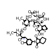 CCOC(=O)/C(Cl)=C/c1cc(N2C(=O)C3=C(CCCC3)C2=O)ccc1Cl.COc1nc(C)nc(NC(=O)NS(=O)(=O)c2ccsc2C(=O)O)n1.O=C(O)CNCP(=O)(O)O